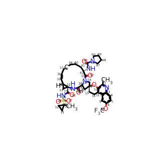 Cc1nc2ccc(OC(F)(F)F)cc2c2c1O[C@]1(CC2)C[C@H]2C(=O)N[C@]3(C(=O)NS(=O)(=O)C4(C)CC4)C[C@H]3/C=C\CCCCC[C@H](NC(=O)N3CCCC3)C(=O)N2C1